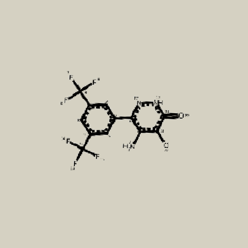 Nc1c(-c2cc(C(F)(F)F)cc(C(F)(F)F)c2)n[nH]c(=O)c1Cl